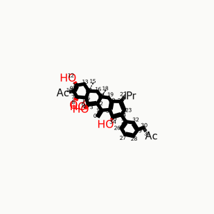 C=C1C2=C(O)[C@@]3(O)C(=O)C(C(C)=O)=C(O)C[C@@]3(C)C[C@@]2(C)Cc2c(C(C)C)cc(-c3cccc(CC(C)=O)c3)c(O)c21